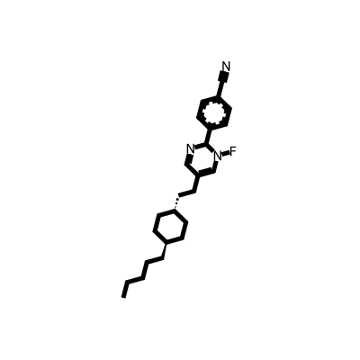 CCCCC[C@H]1CC[C@H](CCC2=CN(F)C(c3ccc(C#N)cc3)N=C2)CC1